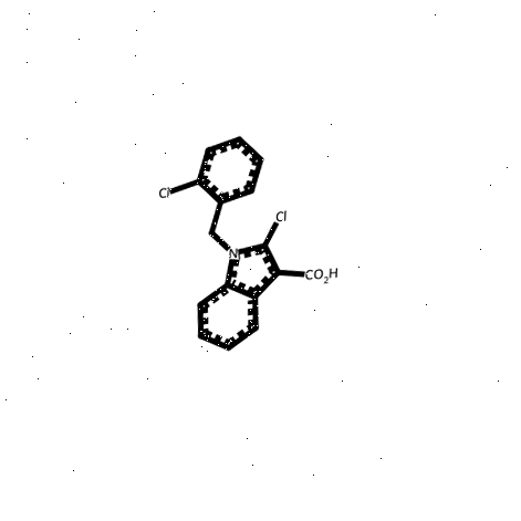 O=C(O)c1c(Cl)n(Cc2ccccc2Cl)c2ccccc12